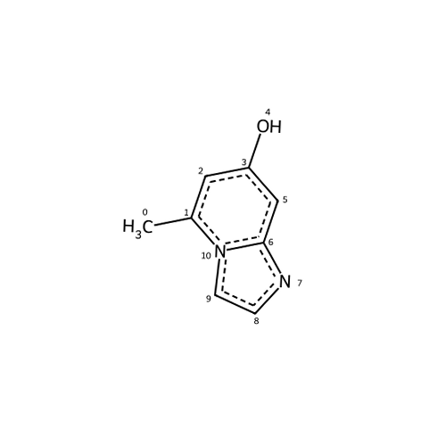 Cc1cc(O)cc2nccn12